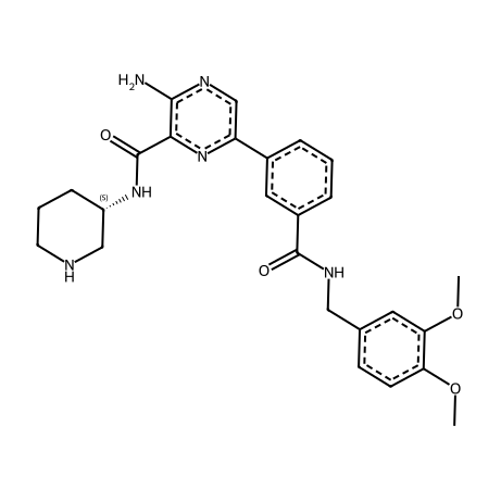 COc1ccc(CNC(=O)c2cccc(-c3cnc(N)c(C(=O)N[C@H]4CCCNC4)n3)c2)cc1OC